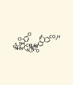 CCOC(=O)C1=C(CN2CCN3C(=O)N(c4ccc(-c5ccc(C(=O)O)cc5F)c(F)c4)C[C@@H]3C2)NC(c2nccs2)=N[C@H]1c1ccc(Cl)cc1Cl